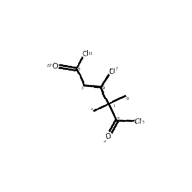 CC(C)(C(=O)Cl)C(Cl)CC(=O)Cl